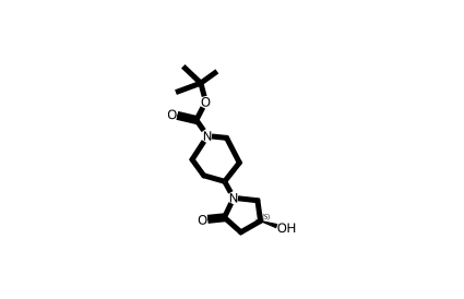 CC(C)(C)OC(=O)N1CCC(N2C[C@@H](O)CC2=O)CC1